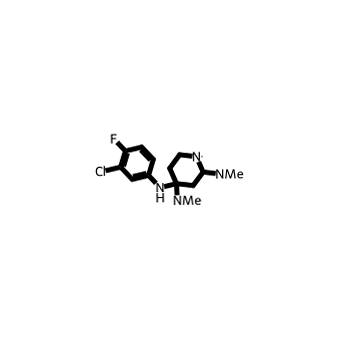 CNC1CC(NC)(Nc2ccc(F)c(Cl)c2)CC[N]1